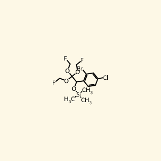 C[Si](C)(C)OC(c1ccc(Cl)cc1Br)C(OCF)(OCF)OCF